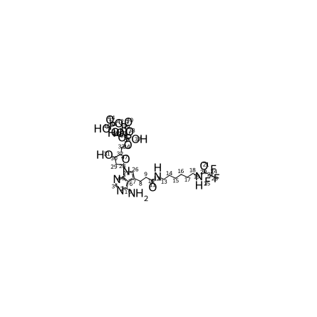 Nc1ncnc2c1c(CCC(=O)NCCCCCCNC(=O)C(F)(F)F)cn2[C@H]1CC(O)[C@@H](COP(=O)(O)OP(=O)(O)OP(=O)(O)O)O1